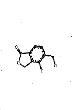 O=C1OCc2c1ccc(CCl)c2Cl